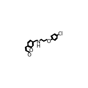 O=c1ccc2ccc(CNCCCOc3ccc(Cl)cc3)cc2o1